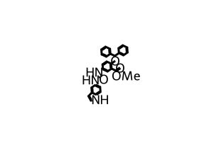 COC(=O)c1cc(NC(=O)Nc2ccc3[nH]ccc3c2)ccc1OC(c1ccccc1)c1ccccc1